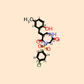 Cc1ccc(O)c(C=C2CNC(=O)CN(S(=O)(=O)c3ccc(Cl)cc3)C2=O)c1